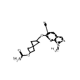 Cn1ncc2cc(C#N)c(OC3CC4(CC(OC(N)=O)C4)C3)nc21